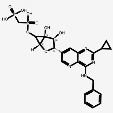 O=P(O)(O)CP(=O)(O)OC1[C@H]2O[C@@H](c3cnc4c(NCc5ccccc5)nc(C5CC5)nc4c3)[C@H](O)[C@@]12O